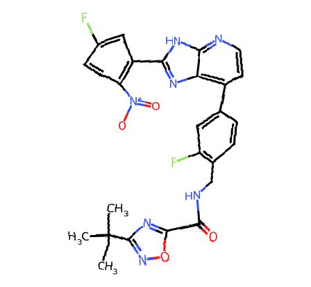 CC(C)(C)c1noc(C(=O)NCc2ccc(-c3ccnc4[nH]c(-c5cc(F)ccc5[N+](=O)[O-])nc34)cc2F)n1